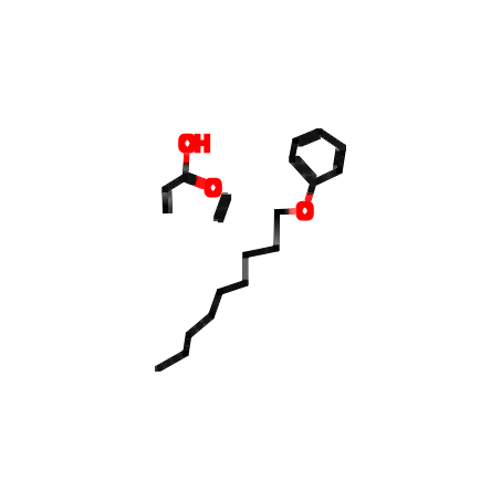 C=C.C=CC(=O)O.CCCCCCCCCOc1ccccc1